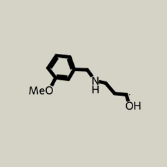 COc1cccc(CNCC[CH]O)c1